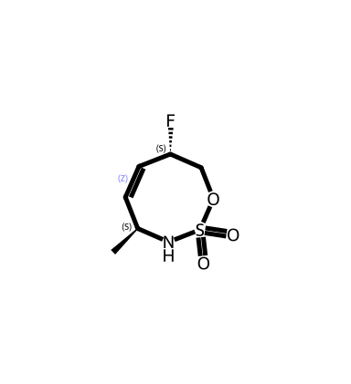 C[C@H]1/C=C\[C@H](F)COS(=O)(=O)N1